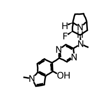 CN(c1cnc(-c2ccc3c(ccn3C)c2O)cn1)[C@@H]1CC2CC[C@H](N2)[C@@H]1F